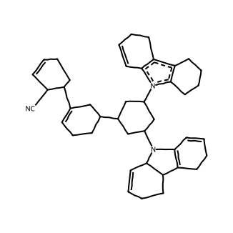 N#CC1C=CCCC1C1=CCCC(C2CC(N3C4=C(CCC=C4)C4CCC=CC43)CC(n3c4c(c5c3CCCC5)CCC=C4)C2)C1